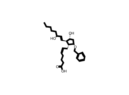 CCCCC[C@H](O)/C=C/[C@@H]1[C@@H](C/C=C\CCCC(=O)O)[C@@H](OCc2ccccc2)C[C@H]1O